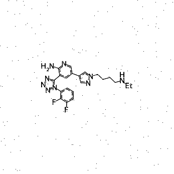 CCNCCCCn1cc(-c2cnc(N)c(-c3nnnn3-c3cccc(F)c3F)c2)cn1